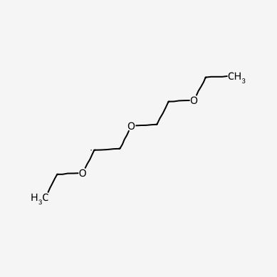 CCO[CH]COCCOCC